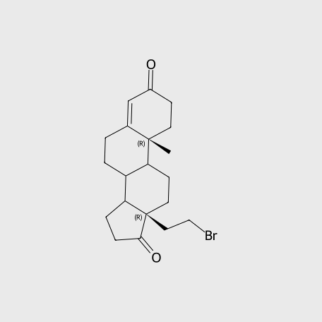 C[C@]12CCC(=O)C=C1CCC1C3CCC(=O)[C@@]3(CCBr)CCC12